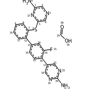 Nc1cncc(Sc2ccccc2-c2ccc(-c3cnc(N)nc3)c(F)c2)n1.O=CO